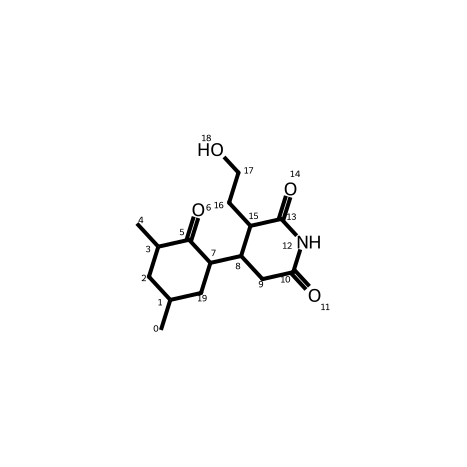 CC1CC(C)C(=O)C(C2CC(=O)NC(=O)C2CCO)C1